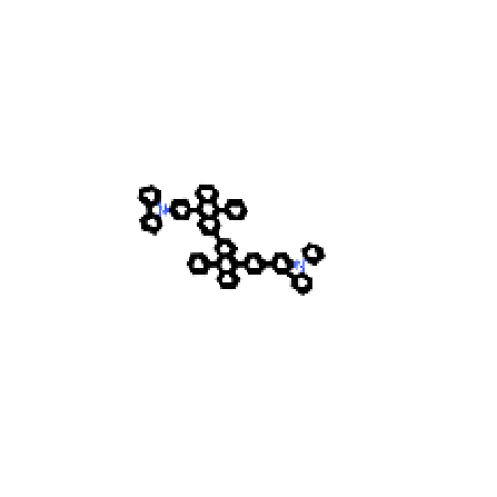 c1ccc(-c2c3ccccc3c(-c3ccc(-c4ccc5c(c4)c4ccccc4n5-c4ccccc4)cc3)c3ccc(-c4ccc5c(-c6ccc(-n7c8ccccc8c8ccccc87)cc6)c6ccccc6c(-c6ccccc6)c5c4)cc23)cc1